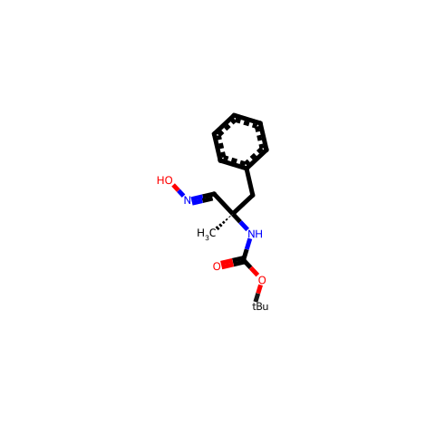 CC(C)(C)OC(=O)N[C@@](C)(C=NO)Cc1ccccc1